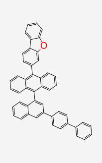 c1ccc(-c2ccc(-c3cc(-c4c5ccccc5c(-c5ccc6c(c5)oc5ccccc56)c5ccccc45)c4ccccc4c3)cc2)cc1